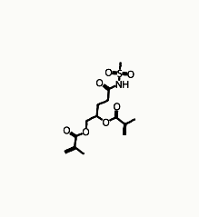 C=C(C)C(=O)OCC(CCC(=O)NS(C)(=O)=O)OC(=O)C(=C)C